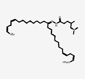 CCCC/C=C\C/C=C\CCCCCCCC/C(CCCCCCCC/C=C\C/C=C\CCCCC)=N/NC(=O)CCC(C)CN(C)C